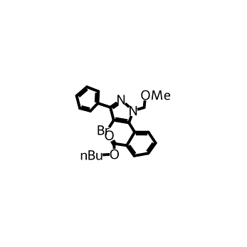 CCCCOC(=O)c1ccccc1-c1c(Br)c(-c2ccccc2)nn1COC